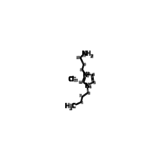 CCCCn1cc[n+](CCCN)c1.[Cl-]